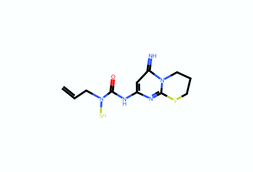 C=CCN(S)C(=O)Nc1cc(=N)n2c(n1)SCCC2